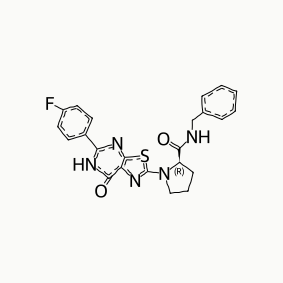 O=C(NCc1ccccc1)[C@H]1CCCN1c1nc2c(=O)[nH]c(-c3ccc(F)cc3)nc2s1